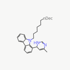 CCCCCCCCCCCCCCCCn1c2ccccc2c2cccc(C3C=C(C)N=CN3)c21